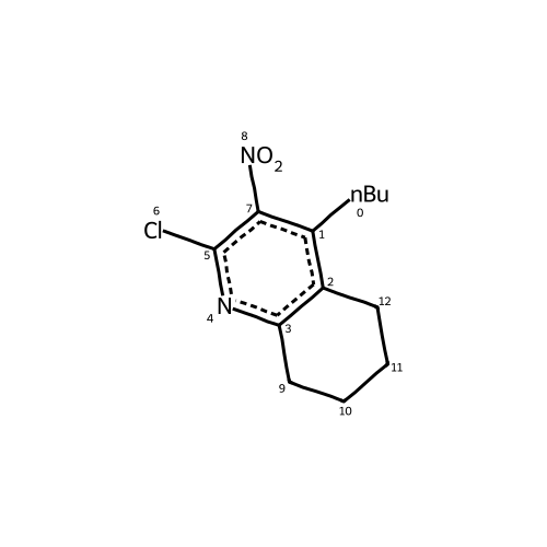 CCCCc1c2c(nc(Cl)c1[N+](=O)[O-])CCCC2